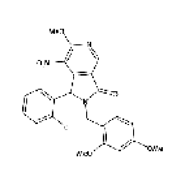 COc1ccc(CN2C(=O)c3cnc(OC)c([N+](=O)[O-])c3C2c2ccccc2Cl)c(OC)c1